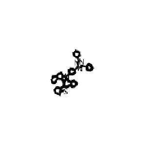 c1ccc(-c2nc(-c3ccccc3)nc(-c3ccc(-n4c5ccc6ccccc6c5c5c6c7ccccc7sc6c6ccccc6c54)cc3)n2)cc1